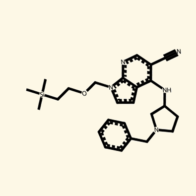 C[Si](C)(C)CCOCn1ccc2c(NC3CCN(Cc4ccccc4)C3)c(C#N)cnc21